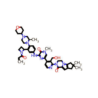 C=CC(=O)N1CCC1c1cc(Nc2nc(-c3ccnc(N4CCn5c(cc6c5CC(C)(C)C6)C4=O)c3CO)cn(C)c2=O)ccc1N1CCN(C2CCOCC2)C[C@H]1C